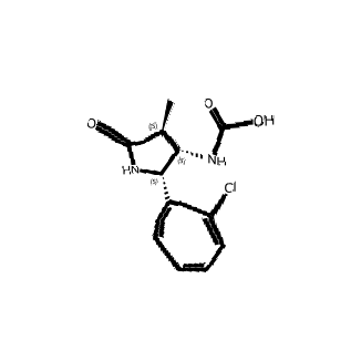 C[C@@H]1C(=O)N[C@@H](c2ccccc2Cl)[C@H]1NC(=O)O